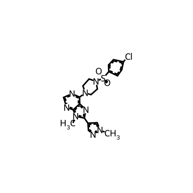 Cn1cc(-c2nc3c(N4CCN(S(=O)(=O)c5ccc(Cl)cc5)CC4)ncnc3n2C)cn1